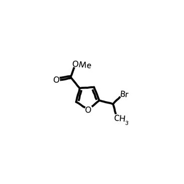 COC(=O)c1coc(C(C)Br)c1